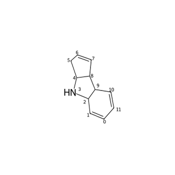 C1=CC2NC3CC=CC3C2C=C1